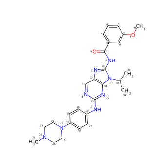 COc1cccc(C(=O)Nc2nc3cnc(Nc4ccc(N5CCN(C)CC5)cc4)nc3n2C(C)C)c1